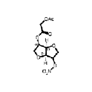 CC(=O)OCC(=O)O[C@@H]1CO[C@@H]2C(O[N+](=O)[O-])CO[C@@H]21